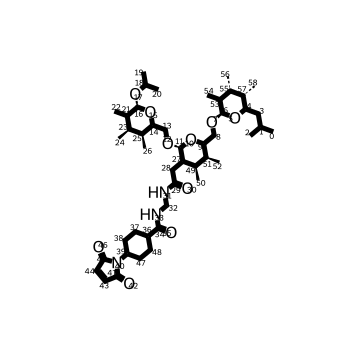 CC(C)CC1O[C@@H](OCC2O[C@@H](OCC3O[C@@H](OC(C)C)C(C)[C@H](C)[C@@H]3C)C(CC(=O)NCNC(=O)C3CCC(N4C(=O)C=CC4=O)CC3)[C@H](C)[C@@H]2C)C(C)[C@H](C)[C@@H]1C